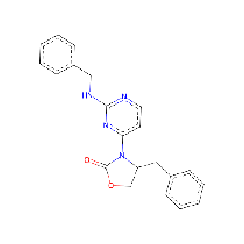 O=C1OCC(Cc2ccccc2)N1c1ccnc(NCc2ccccc2)n1